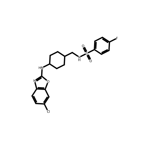 O=S(=O)(NCC1CCC(Nc2nc3ccc(Cl)cc3o2)CC1)c1ccc(F)cc1